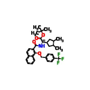 CC1CC([C@H](NC(=O)c2ccc3ccccc3c2OCc2ccc(C(F)(F)F)cc2)C(=O)OC(C)(C)C)CC1C